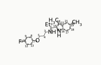 CCC(NCCCOc1ccc(F)cc1)c1[nH]c2ccc(C)cc2c1C